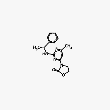 Cc1cc(N2CCOC2=O)nc(N[C@H](C)c2ccccc2)n1